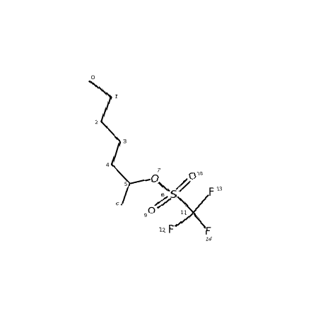 CCCCCC(C)OS(=O)(=O)C(F)(F)F